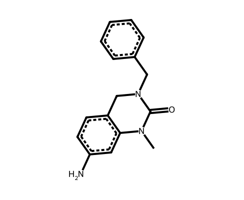 CN1C(=O)N(Cc2ccccc2)Cc2ccc(N)cc21